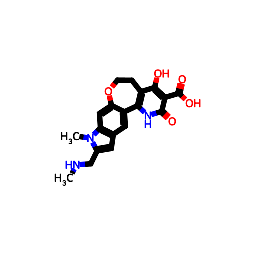 CNCc1cc2cc3c(cc2n1C)OCCc1c-3[nH]c(=O)c(C(=O)O)c1O